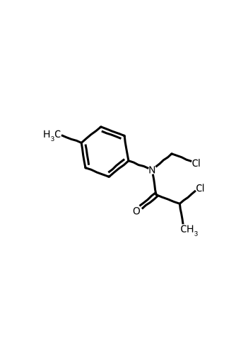 Cc1ccc(N(CCl)C(=O)C(C)Cl)cc1